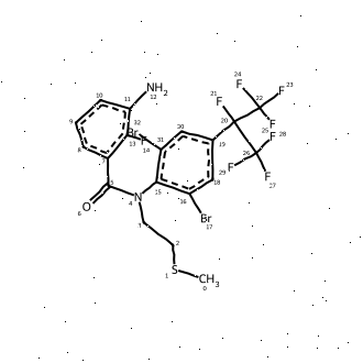 CSCCN(C(=O)c1cccc(N)c1F)c1c(Br)cc(C(F)(C(F)(F)F)C(F)(F)F)cc1Br